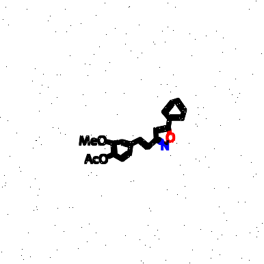 COc1cc(C=Cc2cc(-c3ccccc3)on2)ccc1OC(C)=O